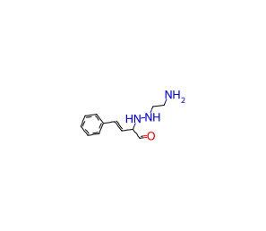 NCCNNC(C=O)/C=C/c1ccccc1